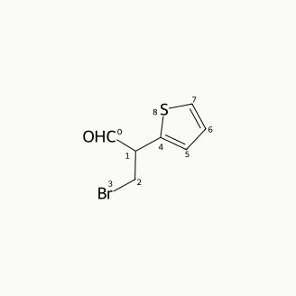 O=CC(CBr)c1cccs1